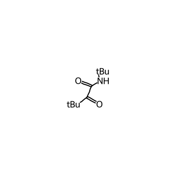 CC(C)(C)NC(=O)C(=O)C(C)(C)C